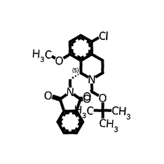 COc1ccc(Cl)c2c1[C@@H](CN1C(=O)c3ccccc3C1=O)N(C(=O)OC(C)(C)C)CC2